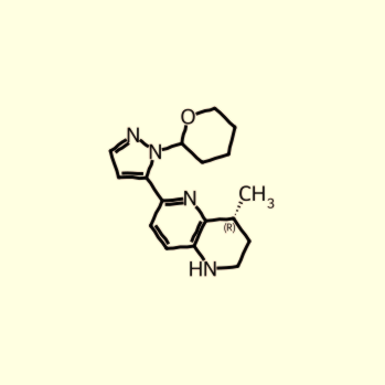 C[C@@H]1CCNc2ccc(-c3ccnn3C3CCCCO3)nc21